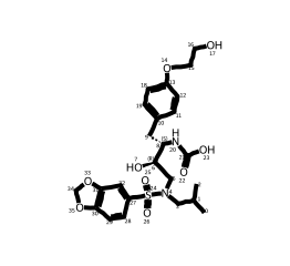 CC(C)CN(C[C@@H](O)[C@H](Cc1ccc(OCCO)cc1)NC(=O)O)S(=O)(=O)c1ccc2c(c1)OCO2